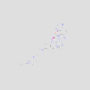 CCc1cc(Nc2ncnc(Nc3ccc4nccnc4c3NS(C)(=O)=O)n2)c(OC)cc1N1CCC(N2CCN(C)CC2)CC1